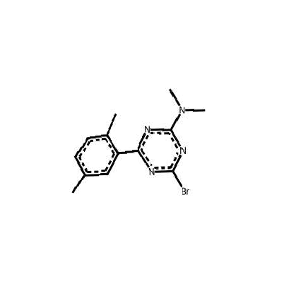 Cc1ccc(C)c(-c2nc(Br)nc(N(C)C)n2)c1